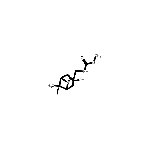 COC(=O)NC[C@]1(O)CC2[C@H](C)C(C1)N2C